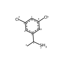 CC([SiH3])c1cc(Cl)cc(Cl)c1